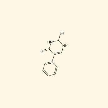 O=C1NC(S)NC=C1c1ccccc1